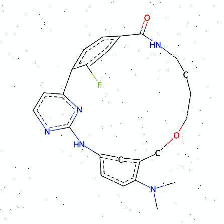 CN(C)c1ccc2cc1COCCCCNC(=O)c1ccc(c(F)c1)-c1ccnc(n1)N2